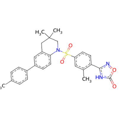 Cc1cc(S(=O)(=O)N2CC(C)(C)Cc3cc(-c4ccc(C(F)(F)F)cc4)ccc32)ccc1-c1noc(=O)[nH]1